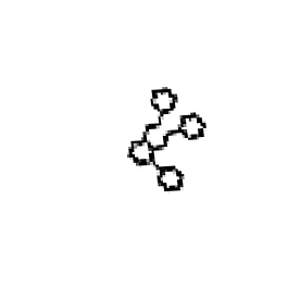 C(=Cc1cccc(-c2ccccc2)c1C=Cc1ccccc1)c1ccccc1